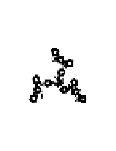 c1cc(-c2nc(-c3ccc(-n4c5ccccc5c5cc6c(cc54)oc4ccccc46)cc3)nc(-c3ccc(-n4c5ccccc5c5cc6c(cc54)oc4ccccc46)cc3)n2)cc(-n2c3ccccc3c3cc4c(cc32)oc2ccccc24)c1